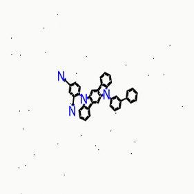 N#Cc1ccc(-n2c3ccccc3c3cc4c(cc32)c2ccccc2n4-c2cccc(-c3ccccc3)c2)c(C#N)c1